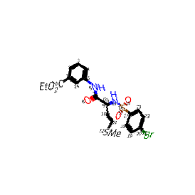 CCOC(=O)c1cccc(NC(=O)[C@H](CCSC)NS(=O)(=O)c2ccc(Br)cc2)c1